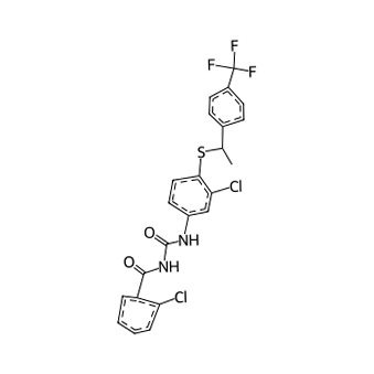 CC(Sc1ccc(NC(=O)NC(=O)c2ccccc2Cl)cc1Cl)c1ccc(C(F)(F)F)cc1